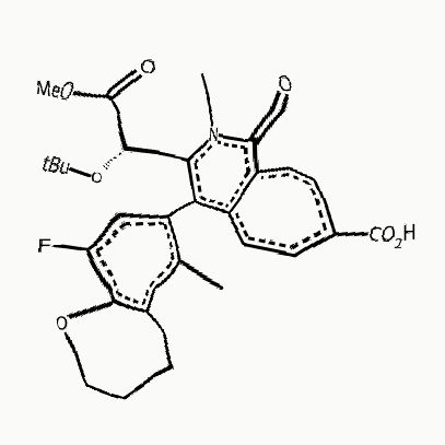 COC(=O)[C@@H](OC(C)(C)C)c1c(-c2cc(F)c3c(c2C)CCCO3)c2ccc(C(=O)O)cc2c(=O)n1C